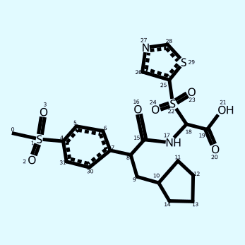 CS(=O)(=O)c1ccc(C(CC2CCCC2)C(=O)NC(C(=O)O)S(=O)(=O)c2cncs2)cc1